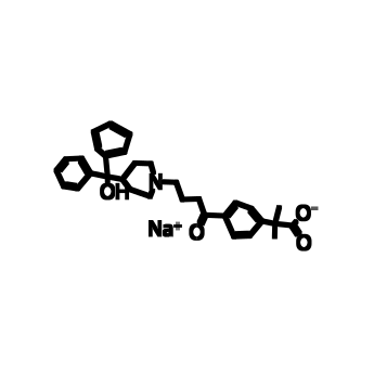 CC(C)(C(=O)[O-])c1ccc(C(=O)CCCN2CCC(C(O)(c3ccccc3)c3ccccc3)CC2)cc1.[Na+]